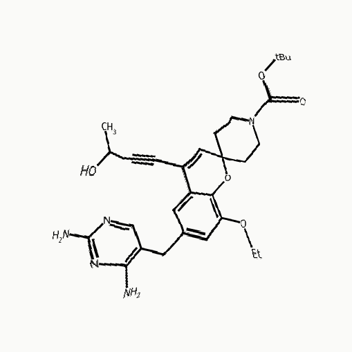 CCOc1cc(Cc2cnc(N)nc2N)cc2c1OC1(C=C2C#CC(C)O)CCN(C(=O)OC(C)(C)C)CC1